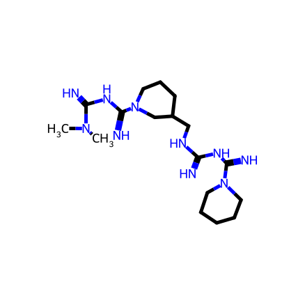 CN(C)C(=N)NC(=N)N1CCCC(CNC(=N)NC(=N)N2CCCCC2)C1